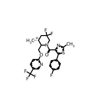 Cc1nc(C(=O)N2CC(F)(F)C[C@@H](C)C2COc2ccc(C(F)(F)F)cn2)c(-c2ccc(F)cc2)s1